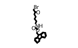 O=C(CBr)CCCCCNC(=O)OCC1c2ccccc2-c2ccccc21